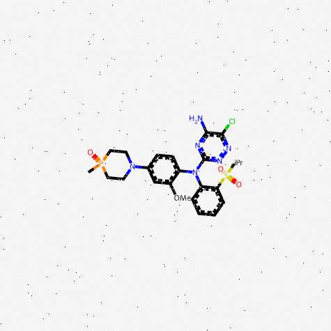 COc1cc(N2CCP(C)(=O)CC2)ccc1N(c1nnc(Cl)c(N)n1)c1ccccc1S(=O)(=O)C(C)C